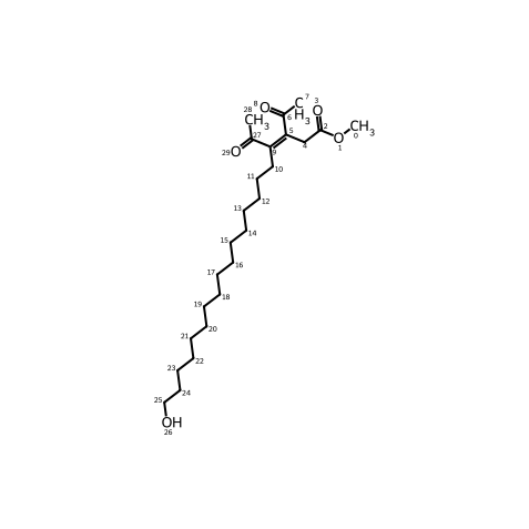 COC(=O)C/C(C(C)=O)=C(\CCCCCCCCCCCCCCCCO)C(C)=O